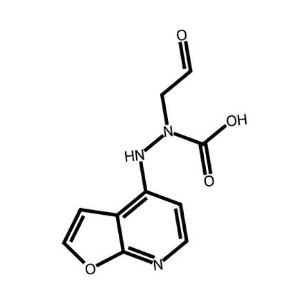 O=CCN(Nc1ccnc2occc12)C(=O)O